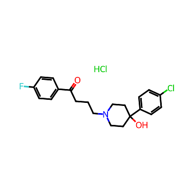 Cl.O=C(CCCN1CCC(O)(c2ccc(Cl)cc2)CC1)c1ccc(F)cc1